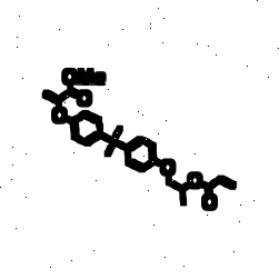 C=CC(=O)OC(C)COc1ccc(C(C)(C)c2ccc(OC(=C)C(=O)OC)cc2)cc1